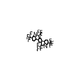 N#C/C(=c1/cc(-c2ccc(C(F)(F)F)cc2)/c(=C(\C#N)C(F)(F)F)cc1-c1ccc(C(F)(F)F)cc1)C(F)(F)F